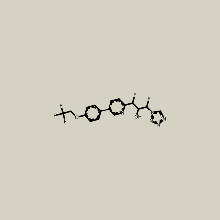 OC(C(F)c1ccc(-c2ccc(OCC(F)(F)F)cc2)cn1)C(F)n1cnnn1